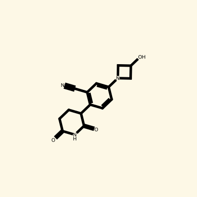 N#Cc1cc(N2CC(O)C2)ccc1C1CCC(=O)NC1=O